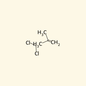 C=C(C)C.ClCCl